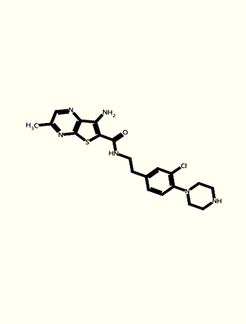 Cc1cnc2c(N)c(C(=O)NCCc3ccc(N4CCNCC4)c(Cl)c3)sc2n1